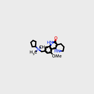 COc1cc(C[N+](C)(C)C2CCCC2)cc2[nH]c(=O)c3c(c12)NCCC3